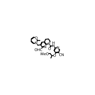 COCC(C)Oc1cc(NC(=O)N2CCCc3cc(CN4C=CC=COC4C)c(C=O)nc32)ncc1C#N